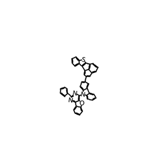 c1ccc(-c2nc(-n3c4ccccc4c4cc(-c5cc6c7c(cccc7c5)-c5sc7ccccc7c5-6)ccc43)c3oc4ccccc4c3n2)cc1